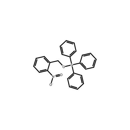 O=[N+]([O-])c1ccccc1CO[Si](c1ccccc1)(c1ccccc1)c1ccccc1